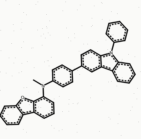 CN(c1ccc(-c2ccc3c(c2)c2ccccc2n3-c2ccccc2)cc1)c1cccc2c1oc1ccccc12